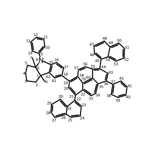 CC12CCCCC1(C)N(c1ccccc1)c1ccc(-c3cc(-c4cccc5ccccc45)c4ccc5c(-c6ccccc6)cc(-c6cccc7ccccc67)c6ccc3c4c56)cc12